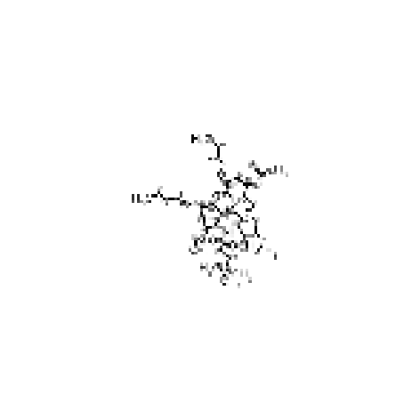 CCCCOCC1OC(O[C@@H]2C(COCCCC)OC(SCC)[C@@H](NS(=O)(=O)CC[Si](C)(C)C)[C@H]2OCCCC)[C@@H](OCCCC)C=C1OC(C)=O